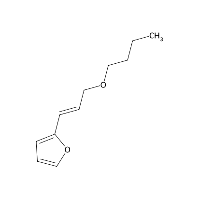 CCCCOCC=Cc1ccco1